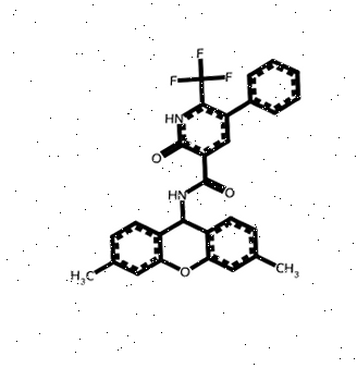 Cc1ccc2c(c1)Oc1cc(C)ccc1C2NC(=O)c1cc(-c2ccccc2)c(C(F)(F)F)[nH]c1=O